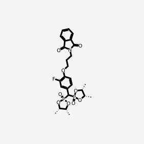 C[C@@H]1OP(=O)(C(c2ccc(OCCCN3C(=O)c4ccccc4C3=O)c(F)c2)P2(=O)O[C@@H](C)[C@@H](C)O2)O[C@@H]1C